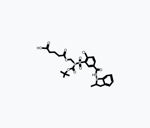 CC1Cc2ccccc2N1NC(=O)c1ccc(Cl)c(S(=O)(=O)N(COC(=O)CCCC(=O)O)C(=O)OC(C)(C)C)c1